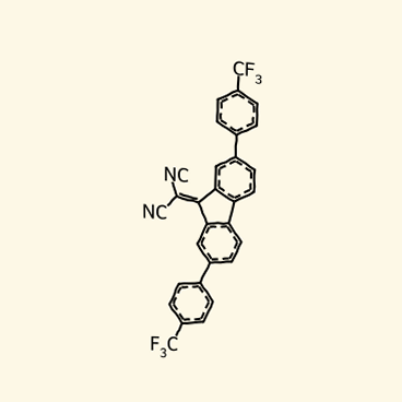 [C-]#[N+]C(C#N)=C1c2cc(-c3ccc(C(F)(F)F)cc3)ccc2-c2ccc(-c3ccc(C(F)(F)F)cc3)cc21